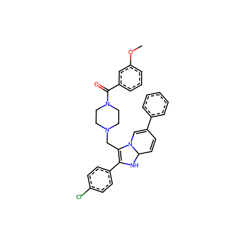 COc1cccc(C(=O)N2CCN(CC3=C(c4ccc(Cl)cc4)NC4C=CC(c5ccccc5)=CN34)CC2)c1